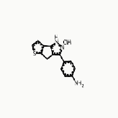 Cl.Nc1ccc(-c2n[nH]c3c2Cc2sccc2-3)cc1